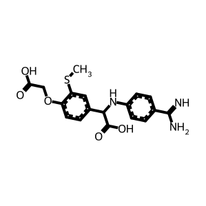 CSc1cc(C(Nc2ccc(C(=N)N)cc2)C(=O)O)ccc1OCC(=O)O